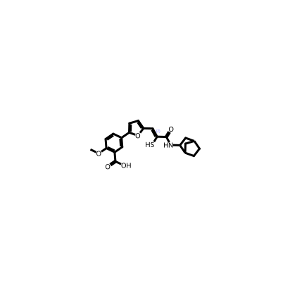 COc1ccc(-c2ccc(/C=C(\S)C(=O)NC3CC4CCC3C4)o2)cc1C(=O)O